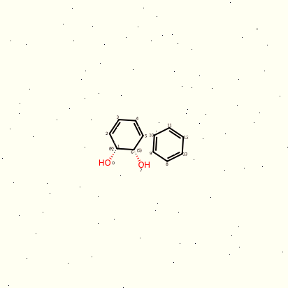 O[C@@H]1C=CC=C[C@@H]1O.c1ccccc1